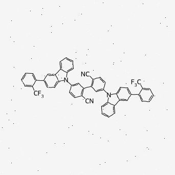 N#Cc1ccc(-n2c3ccccc3c3cc(-c4ccccc4C(F)(F)F)ccc32)cc1-c1cc(-n2c3ccccc3c3cc(-c4ccccc4C(F)(F)F)ccc32)ccc1C#N